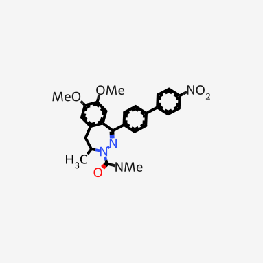 CNC(=O)N1N=C(c2ccc(-c3ccc([N+](=O)[O-])cc3)cc2)c2cc(OC)c(OC)cc2CC1C